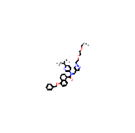 CCOCCOCCn1cc(CN(C(=O)C2CCCc3c(OCc4ccccc4)cccc32)c2ccc(C(C)C)nc2)cn1